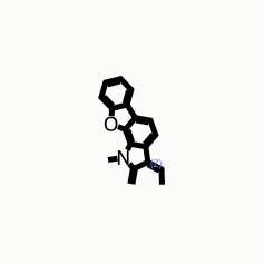 C=c1/c(=C\C)c2ccc3c4ccccc4oc3c2n1C